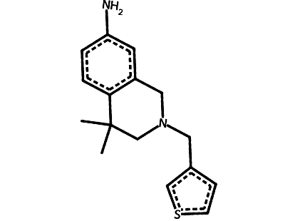 CC1(C)CN(Cc2ccsc2)Cc2cc(N)ccc21